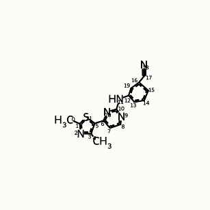 Cc1nc(C)c(-c2ccnc(Nc3cccc(C#N)c3)n2)s1